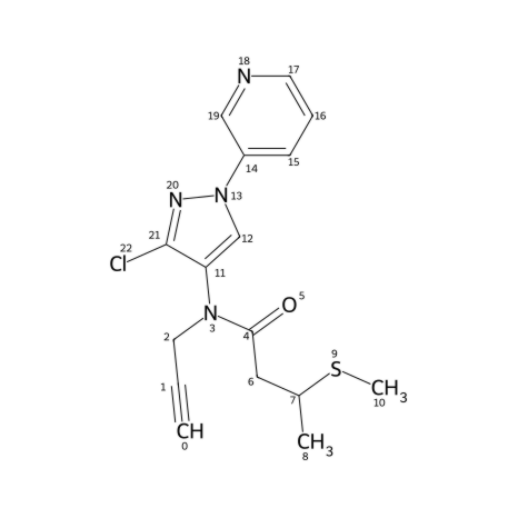 C#CCN(C(=O)CC(C)SC)c1cn(-c2cccnc2)nc1Cl